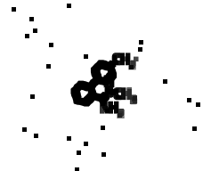 [CH2]c1ccc(-c2ccccc2C(N)=[SH]C)cc1